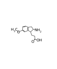 COc1ccc2c(c1)C(CCC(=O)O)C(N)C2